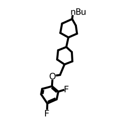 CCCCC1CCC(C2CCC(COc3ccc(F)cc3F)CC2)CC1